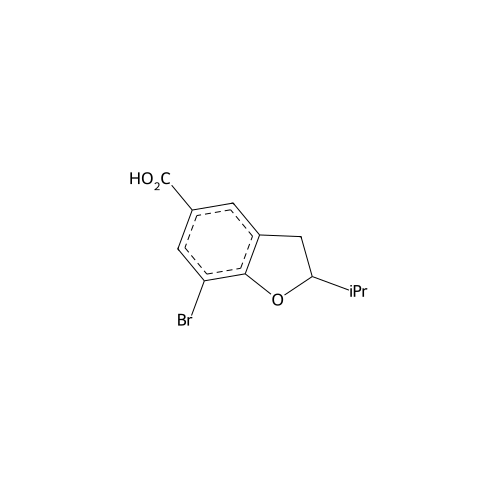 CC(C)C1Cc2cc(C(=O)O)cc(Br)c2O1